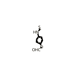 O=COc1ccc(N[C]=S)cc1